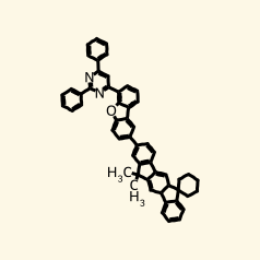 CC1(C)C2=CC3c4ccccc4C4(CCCCC4)C3C=C2c2ccc(-c3ccc4oc5c(-c6cc(-c7ccccc7)nc(-c7ccccc7)n6)cccc5c4c3)cc21